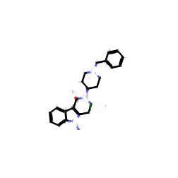 Cl.Cn1c2c(c3ccccc31)C(=O)N(C1CCN(Cc3ccccc3)CC1)CC2